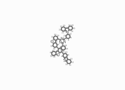 c1ccc(-c2nc(-c3cccc(-n4c5ccccc5c5ccccc54)c3)nc(-c3cccc4oc5ccc(-c6ccc(-c7ccc8c(c7)sc7ccccc78)c7oc8ccccc8c67)cc5c34)n2)cc1